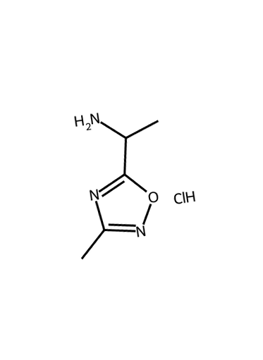 Cc1noc(C(C)N)n1.Cl